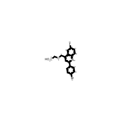 O=C(O)COCc1cc(-c2ccc(Br)cc2)nc2ccc(F)cc12